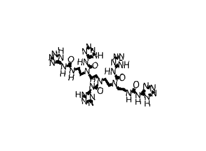 O=C(NCCN(CCN(CCN(CCNC(=O)Nc1nnn[nH]1)C(=O)Nc1nnn[nH]1)C(=O)Nc1nnn[nH]1)C(=O)Nc1nnn[nH]1)Nc1nnn[nH]1